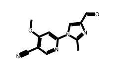 COc1cc(-n2cc(C=O)nc2C)ncc1C#N